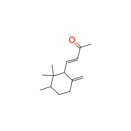 C=C1CCC(C)C(C)(C)C1C=CC(C)=O